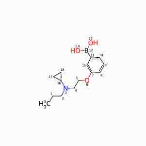 CCCN(CCOc1cccc(B(O)O)c1)C1CC1